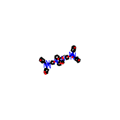 c1ccc2c(c1)N(c1ccc(-c3nc(C45CC6CC(CC(C6)C4)C5)nc(C45CC6CC(CC(C6)C4)C5)n3)cc1)c1ccccc1C21c2ccccc2N(c2ccc(-c3nc(C45CC6CC(CC(C6)C4)C5)nc(C45CC6CC(CC(C6)C4)C5)n3)cc2)c2ccccc21